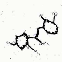 N/C(=C\c1cccc(Cl)c1F)c1ccc(Cl)cc1Cl